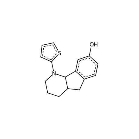 Oc1ccc2c(c1)C1C(CCCN1c1cccs1)C2